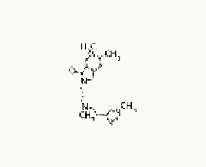 Cc1cc2c(cc1C)C(=O)N(CCCN(C)CCc1cn(C)cn1)C2